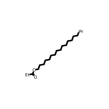 CCC(=O)OCCCCCCCCCCCCCCCC(C)C